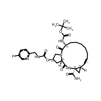 CC(C)(C)OC(=O)N[C@H]1CCCCC/C=C\[C@@H]2C[C@@]2(C(N)=O)NC(=O)[C@@H]2C[C@@H](OC(=O)NCc3ccc(F)cn3)CN2C1=O